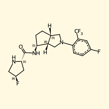 O=C(N[C@H]1CC[C@@H]2CN(c3ccc(F)cc3C(F)(F)F)C[C@@H]21)[C@@H]1C[C@@H](F)CN1